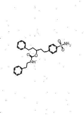 NS(=O)(=O)c1ccc(CCC(CCc2ccccc2)OC(=O)NCCc2ccccc2)cc1